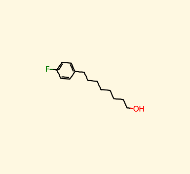 OCCCCCCCCc1ccc(F)cc1